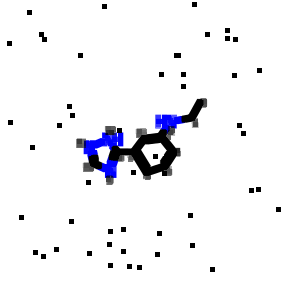 CCNc1cccc(-c2ncn[nH]2)c1